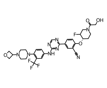 N#Cc1cc(-c2ncnc(Nc3ccc(N4CCN(C5COC5)CC4)c(C(F)(F)F)c3)n2)ccc1O[C@H]1CCN(C(=O)CO)CC1F